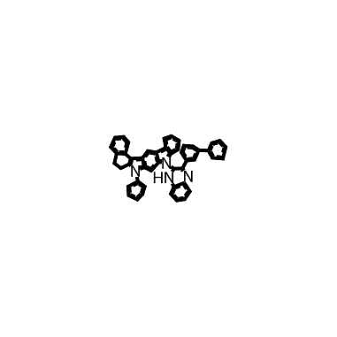 c1ccc(-c2cccc(C3=Nc4ccccc4NC3n3c4ccccc4c4cc5c6c(n(-c7ccccc7)c5cc43)CCc3ccccc3-6)c2)cc1